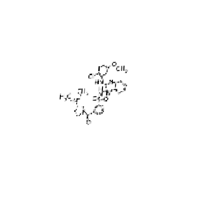 CCN(CC)C1CCN(C(=O)c2cccc(S(=O)(=O)Nc3nc4ccccc4nc3Nc3cc(OC)ccc3Cl)c2)C1